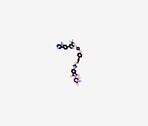 Cn1c2ccncc2c2ccc(-c3cnc(O[C@H]4C[C@H](Oc5ccc(C#CCOC6CN(c7ccc8c(c7)C(=O)N(C7CCC(=O)NC7=O)C8=O)C6)cc5)C4)c(C(F)(F)F)c3)cc21